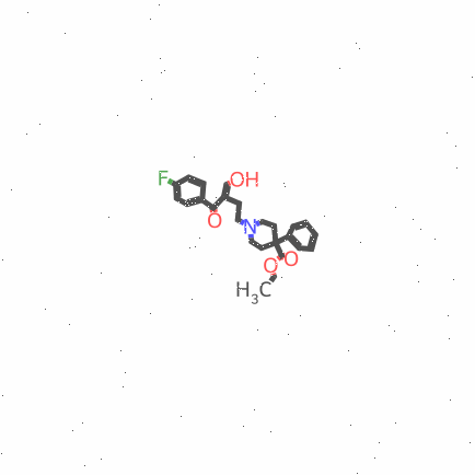 CCOC(=O)C1(c2ccccc2)CCN(CC/C(=C\O)C(=O)c2ccc(F)cc2)CC1